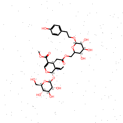 C/C=C1/[C@H](O[C@@H]2O[C@H](CO)[C@@H](O)[C@H](O)[C@H]2O)OC=C(C(=O)OC)[C@H]1CC(=O)OCC1O[C@@H](OCCc2ccc(O)cc2)[C@H](O)[C@@H](O)[C@@H]1O